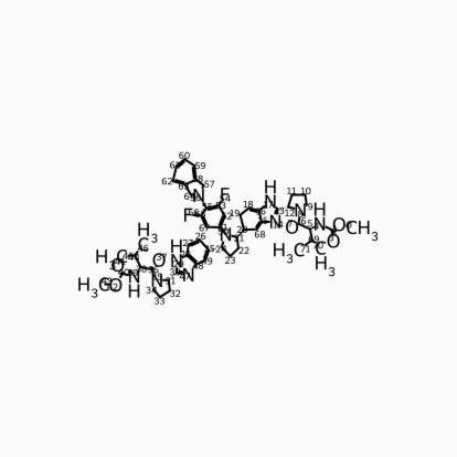 COC(=O)N[C@H](C(=O)N1CCC[C@H]1c1nc2c([nH]1)=CCC([C@H]1CC[C@H](c3ccc4[nH]c([C@@H]5CCCN5C(=O)[C@@H](NC(=O)OC)C(C)C)nc4c3)N1c1cc(F)c(N3Cc4ccccc4C3)c(F)c1)C=2)C(C)C